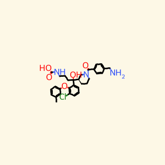 Cc1cccc(Oc2c(Cl)cccc2[C@](O)(CCCNC(=O)O)[C@@H]2CCCN(C(=O)c3ccc(CN)cc3)C2)c1